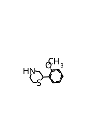 COc1ccccc1[C]1CNCCS1